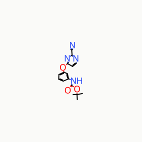 CC(C)(C)OC(=O)Nc1cccc(Oc2ccnc(C#N)n2)c1